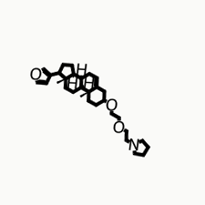 C[C@]12CCC(OCCOCCN3CCCC3)CC1=CC[C@@H]1[C@H]2CC[C@]2(C)C(c3ccoc3)CC[C@@H]12